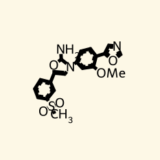 COc1cc(N2C=C(c3cccc(S(C)(=O)=O)c3)OC2N)ccc1-c1cnco1